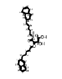 O=C(O)C(O)C(OCCCCCc1ccc2ccccc2c1)C(=O)NCCCCCc1ccc2ccccc2c1